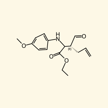 C=CC[C@@H](C=O)C(Nc1ccc(OC)cc1)C(=O)OCC